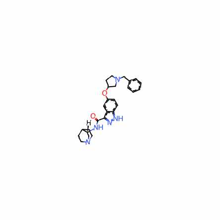 O=C(N[C@@H]1CN2CCC1CC2)c1n[nH]c2ccc(OC3CCN(Cc4ccccc4)C3)cc12